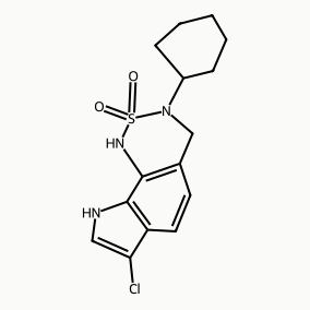 O=S1(=O)Nc2c(ccc3c(Cl)c[nH]c23)CN1C1CCCCC1